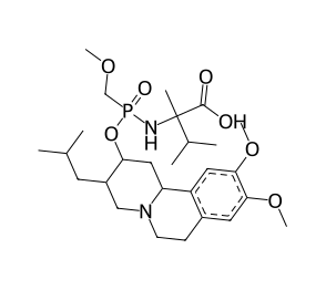 COCP(=O)(NC(C)(C(=O)O)C(C)C)OC1CC2c3cc(OC)c(OC)cc3CCN2CC1CC(C)C